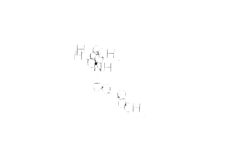 CCOC(=O)CCCOc1cccc(CCCNC(=O)OC(C)(C)C)c1